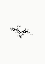 CC(NC(=O)c1cc(F)c(N2CC(CC#N)(n3cc(-c4cn[nH]c4)c(CO)n3)C2)cc1F)C(F)(F)F.O=C(O)C(F)(F)F